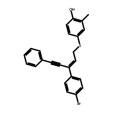 Cc1cc(SC/C=C(\C#Cc2ccccc2)c2ccc(Br)cc2)ccc1O